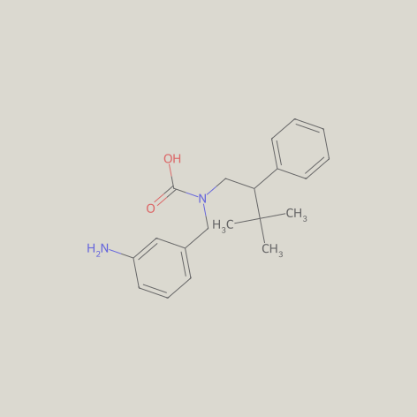 CC(C)(C)C(CN(Cc1cccc(N)c1)C(=O)O)c1ccccc1